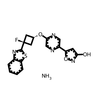 N.Oc1cc(-c2cnc(O[C@H]3C[C@@](F)(c4nc5ccccc5s4)C3)cn2)on1